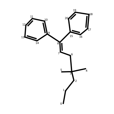 CCCC(C)(C)CC=C(c1ccccc1)c1ccccc1